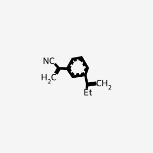 C=C(C#N)c1cccc(C(=C)CC)c1